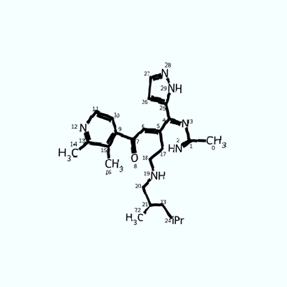 CC(=N)/N=C(\C(=C\C(=O)c1ccnc(C)c1C)CCNC[C@H](C)CC(C)C)c1ccn[nH]1